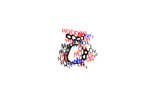 CN(C)[C@@H]1C(O)=C(C(N)=O)C(=O)[C@@]2(O)C(O)=C3C(=O)c4c(O)cccc4[C@@](C)(O)[C@H]3C[C@@H]12.CO[C@H]1/C=C\O[C@@]2(C)Oc3c(C)c(O)c4c(O)c(c(/C=N/N5CCN(C)CC5)c(O)c4c3C2=O)NC(=O)/C(C)=C\C=C/[C@H](C)[C@H](O)[C@@H](C)[C@@H](O)[C@@H](C)[C@H](OC(C)=O)[C@@H]1C